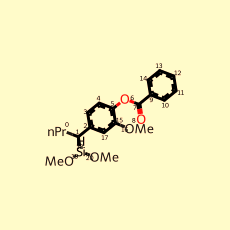 CCCC(c1ccc(OC(=O)c2ccccc2)c(OC)c1)[SiH](OC)OC